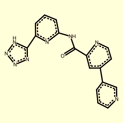 O=C(Nc1cccc(-c2nnn[nH]2)n1)c1cc(-c2cccnc2)ccn1